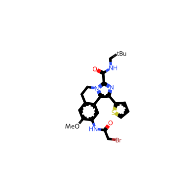 COc1cc2c(cc1NC(=O)CBr)-c1c(-c3cccs3)nc(C(=O)NCC(C)(C)C)n1CC2